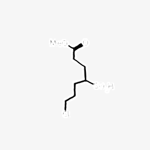 COC(=O)CCC(CCCCl)S(=O)(=O)O